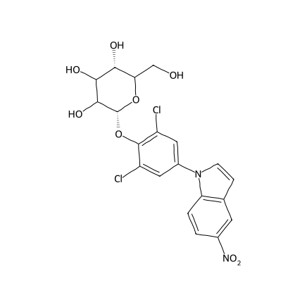 O=[N+]([O-])c1ccc2c(ccn2-c2cc(Cl)c(O[C@H]3OC(CO)[C@@H](O)C(O)C3O)c(Cl)c2)c1